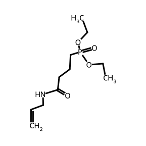 C=CCNC(=O)CCCP(=O)(OCC)OCC